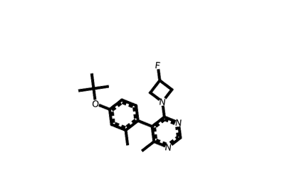 Cc1cc(OC(C)(C)C)ccc1-c1c(C)ncnc1N1CC(F)C1